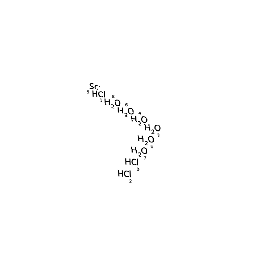 Cl.Cl.Cl.O.O.O.O.O.O.[Sc]